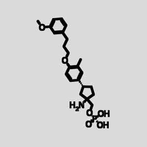 COc1cccc(CCCOc2ccc([C@@H]3CC[C@](N)(COP(=O)(O)O)C3)cc2C)c1